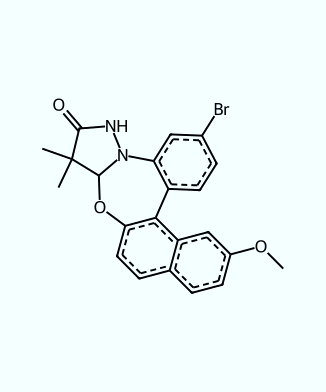 COc1ccc2ccc3c(c2c1)-c1ccc(Br)cc1N1NC(=O)C(C)(C)C1O3